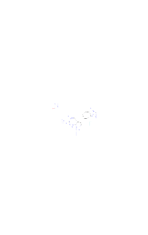 Cc1nc2ccc(-c3c[nH]c4nc(NC5CCC(C(=O)N6CCCC6)CC5)ncc34)cc2n1CC(F)F